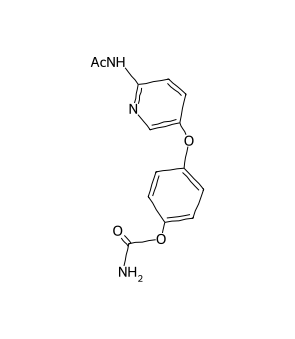 CC(=O)Nc1ccc(Oc2ccc(OC(N)=O)cc2)cn1